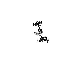 CCN(CCc1c[nH]c2cc(F)ccc12)C1CCc2cc(/C=C/C(=O)NO)ccc21